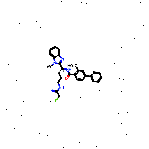 CC(C)n1c([C@H](CCCNC(=N)CF)NC(=O)c2ccc(-c3ccccc3)cc2C(=O)O)nc2ccccc21